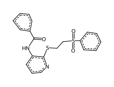 O=C(Nc1cccnc1SCCS(=O)(=O)c1ccccc1)c1ccccc1